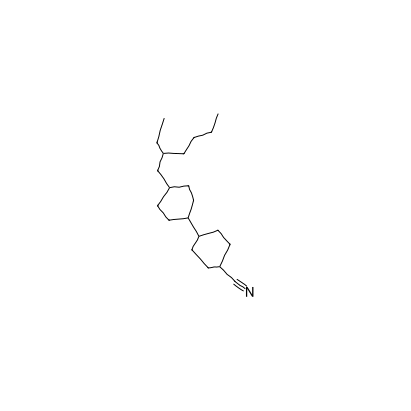 CCCCC(CC)CC1CCC(C2CCC(C#N)CC2)CC1